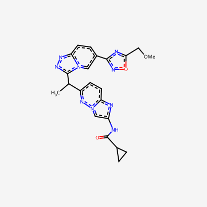 COCc1nc(-c2ccc3nnc(C(C)c4ccc5nc(NC(=O)C6CC6)cn5n4)n3c2)no1